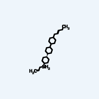 C=CC[SiH2][C@H]1CC[C@H](C2CCC(C3CCC(C/C=C/CC)CC3)CC2)CC1